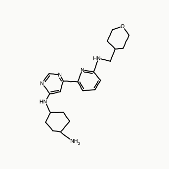 NC1CCC(Nc2cc(-c3cccc(NCC4CCOCC4)n3)ncn2)CC1